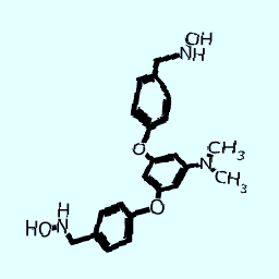 CN(C)c1cc(Oc2ccc(CNO)cc2)cc(Oc2ccc(CNO)cc2)c1